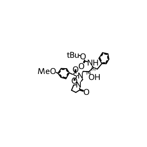 COc1ccc(S(=O)(=O)N(C[C@@H](O)[C@H](Cc2ccccc2)NC(=O)OC(C)(C)C)CN2CCCC2=O)cc1